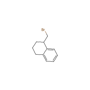 BrCC1CCCc2ccccc21